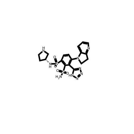 NS(=O)(=O)c1c(S(=O)(=O)N[C@@H]2CCNC2)ccc(N2CCc3ncccc32)c1-c1nnn[nH]1